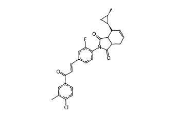 Cc1cc(C(=O)/C=C/c2ccc(N3C(=O)C4CC=CC([C@H]5C[C@H]5C)C4C3=O)c(F)c2)ccc1Cl